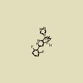 CC1(C)[C@H]2CC[C@]1(n1cnnc1)c1nnc(-c3c(F)cccc3F)cc12